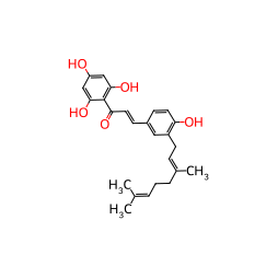 CC(C)=CCC/C(C)=C/Cc1cc(/C=C/C(=O)c2c(O)cc(O)cc2O)ccc1O